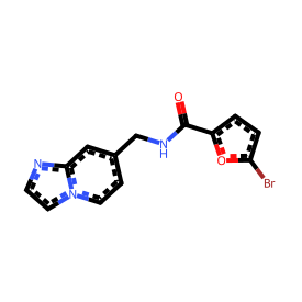 O=C(NCc1ccn2ccnc2c1)c1ccc(Br)o1